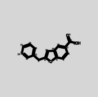 O=C(O)c1ccc2oc(Cc3cccnc3)cc2c1